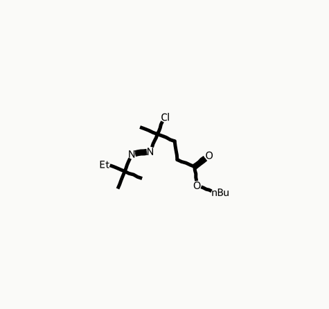 CCCCOC(=O)CCC(C)(Cl)N=NC(C)(C)CC